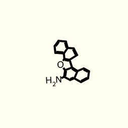 Nc1cc2ccccc2c2c1oc1c3ccccc3ccc12